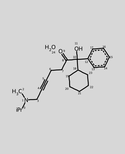 CC(C)N(C)CC#CCCC(=O)C(O)(c1ccccc1)C1CCCCC1.O